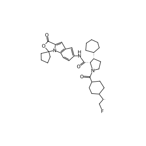 O=C1OC2(CCCC2)n2c1cc1cc(NC(=O)[C@@H]3[C@H](C4CCCCC4)CCN3C(=O)C3CCC([CH]CF)CC3)ccc12